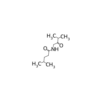 CC(C)CCC(=O)NCC(=O)C(C)C